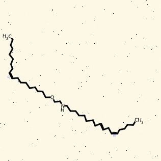 CCCCC/C=C\CC=CCCCCCCCCNCCOCCCCCCCC/C=C\CCCCCCCC